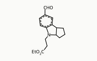 CCOC(=O)CCN1c2ccc(C=O)cc2C2CCCC21